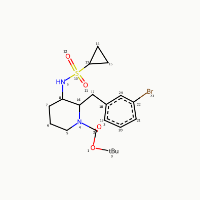 CC(C)(C)OC(=O)N1CCCC(NS(=O)(=O)C2CC2)C1Cc1cccc(Br)c1